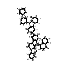 c1ccc(-c2cccc(C3c4ccccc4-c4cc(-c5ccc6c(c5)c5ccc7c8ccccc8oc7c5n6-c5cccc6ccccc56)ccc43)c2)cc1